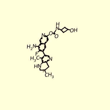 Cc1c(-c2cc3cc(OC(=O)NC4CC(O)C4)ncc3c(N)c2F)cnc2c1NC[C@H](C)C2